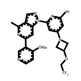 COc1ccncc1-c1cc2c(cnn2-c2cc(N3CC(OCC(F)(F)F)C3)cc(C(C)C)n2)c(C)n1